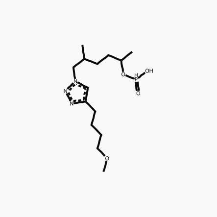 COCCCCc1cn(CC(C)CCC(C)O[PH](=O)O)nn1